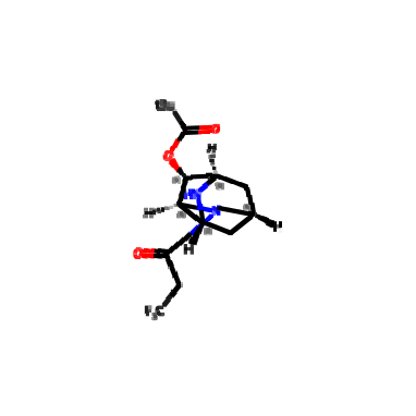 CC(C)(C)C(=O)O[C@@H]1[C@@H]2[C@H]3C[C@@H](C[C@H]1N3)CN2C(=O)CC(F)(F)F